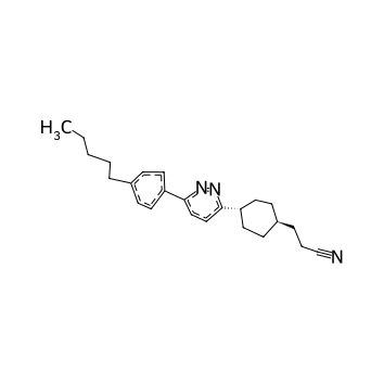 CCCCCc1ccc(-c2ccc([C@H]3CC[C@H](CCC#N)CC3)nn2)cc1